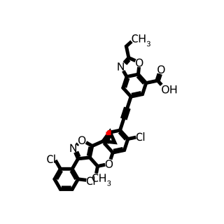 CCc1nc2cc(C#Cc3ccc(OC(C)c4c(-c5c(Cl)cccc5Cl)noc4C4CC4)cc3Cl)cc(C(=O)O)c2o1